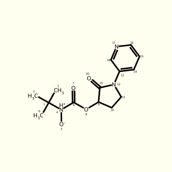 CC(C)(C)[NH+]([O-])C(=O)OC1CCN(c2cccnc2)C1=O